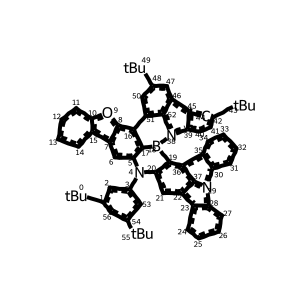 CC(C)(C)c1cc(N2c3cc4c(oc5ccccc54)c4c3B(c3c2cc2c5ccccc5n5c6ccccc6c3c25)n2c3ccc(C(C)(C)C)cc3c3cc(C(C)(C)C)cc-4c32)cc(C(C)(C)C)c1